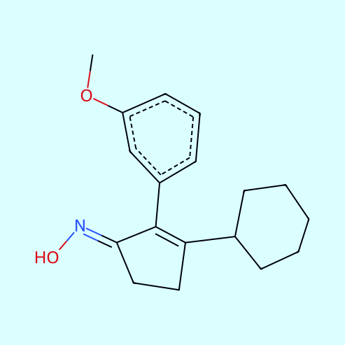 COc1cccc(C2=C(C3CCCCC3)CCC2=NO)c1